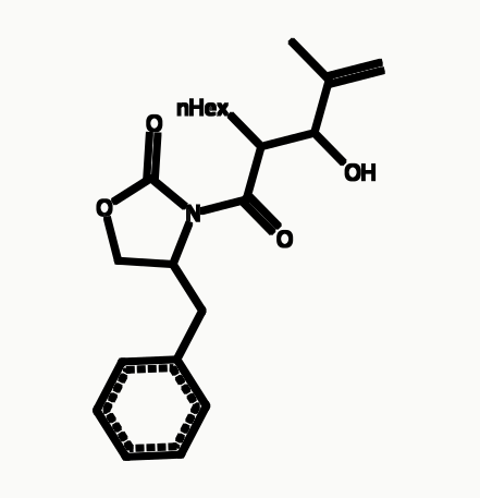 C=C(C)C(O)C(CCCCCC)C(=O)N1C(=O)OCC1Cc1ccccc1